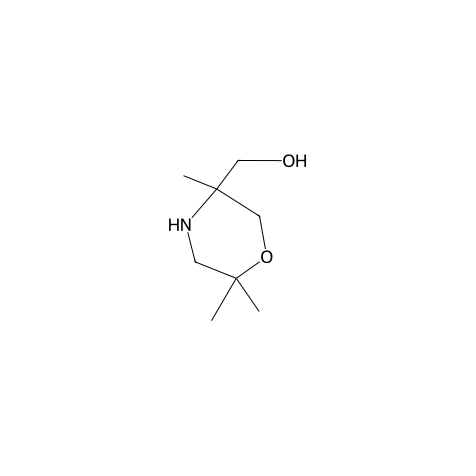 CC1(CO)COC(C)(C)CN1